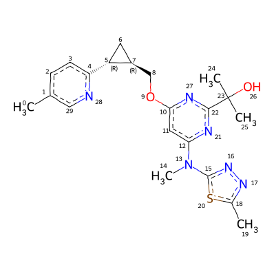 Cc1ccc([C@@H]2C[C@H]2COc2cc(N(C)c3nnc(C)s3)nc(C(C)(C)O)n2)nc1